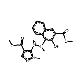 COC(=O)c1cc2ccccc2c(N(C)Nc2c(C(=O)OC)cnn2C)c1O